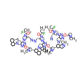 C=C(F)C(=O)N1CCN(c2nc(OC[C@@H]3CC(c4cc(N5CCc6c(nc(OC[C@@H]7CCCN7C)nc6N6CCN(C(=O)C(=C)F)[C@@H](CC#N)C6)C5)c5c(C)nccc5c4)CN3C)nc3c2CCN(c2cc(C4C[C@@H](COc5nc6c(c(N7CCN(C(=O)C(=C)F)[C@@H](CC#N)C7)n5)CCN(c5cccc7cccc(C8CC8)c57)C6)N(C)C4)cc4cccc(C(C)C)c24)C3)C[C@@H]1CC#N